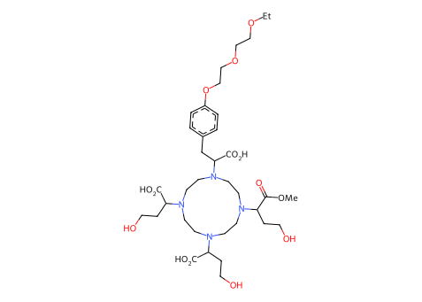 CCOCCOCCOc1ccc(CC(C(=O)O)N2CCN(C(CCO)C(=O)O)CCN(C(CCO)C(=O)O)CCN(C(CCO)C(=O)OC)CC2)cc1